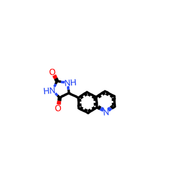 O=C1NC(=O)C(c2ccc3ncccc3c2)N1